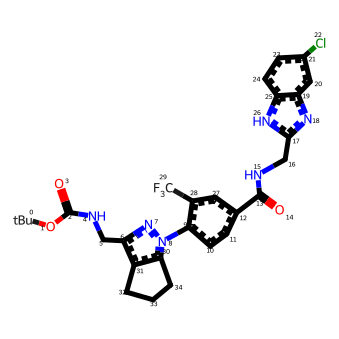 CC(C)(C)OC(=O)NCc1nn(-c2ccc(C(=O)NCc3nc4cc(Cl)ccc4[nH]3)cc2C(F)(F)F)c2c1CCC2